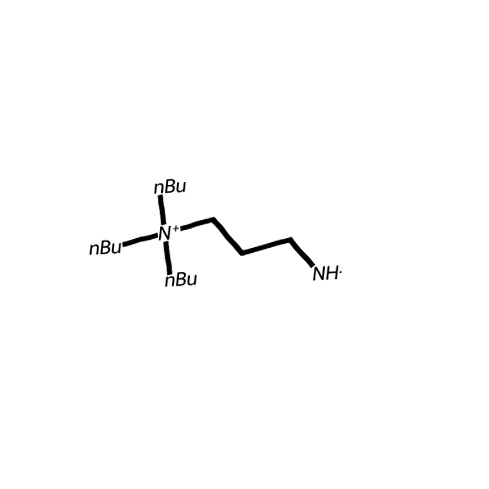 CCCC[N+](CCCC)(CCCC)CCC[NH]